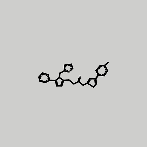 Cc1ccc(C2=CCC(CC(=O)CCC3=CC=C(c4ccccc4)C3Cc3ccco3)=C2)cc1